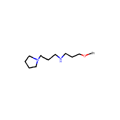 CC(C)OCCCNCCCN1CCCC1